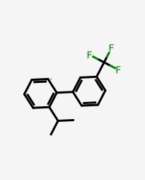 CC(C)c1ccc[c]c1-c1cccc(C(F)(F)F)c1